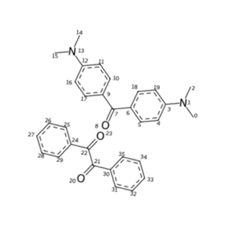 CN(C)c1ccc(C(=O)c2ccc(N(C)C)cc2)cc1.O=C(C(=O)c1ccccc1)c1ccccc1